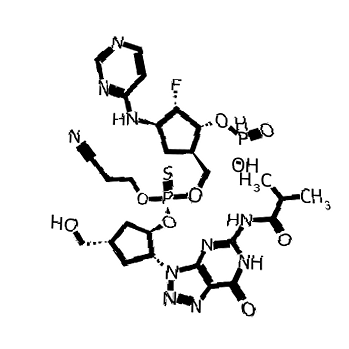 CC(C)C(=O)Nc1nc2c(nnn2[C@@H]2C[C@H](CO)C[C@H]2O[P@@](=S)(OCCC#N)OC[C@H]2C[C@@H](Nc3ccncn3)[C@H](F)[C@@H]2O[PH](=O)O)c(=O)[nH]1